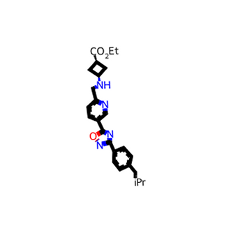 CCOC(=O)[C@H]1C[C@@H](NCc2ccc(-c3nc(-c4ccc(CC(C)C)cc4)no3)cn2)C1